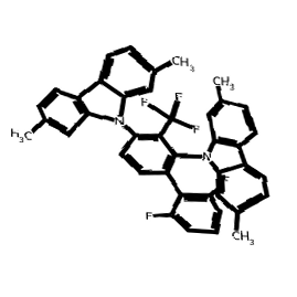 Cc1ccc2c3ccc(C)cc3n(-c3ccc(-c4c(F)cccc4F)c(-n4c5cc(C)ccc5c5ccc(C)cc54)c3C(F)(F)F)c2c1